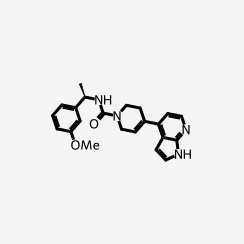 COc1cccc([C@@H](C)NC(=O)N2CC=C(c3ccnc4[nH]ccc34)CC2)c1